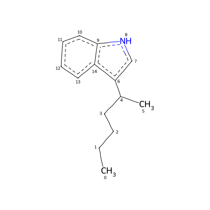 CCCCC(C)c1c[nH]c2ccccc12